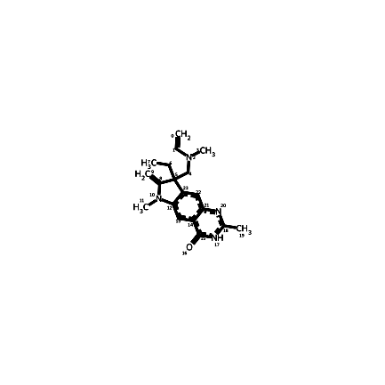 C=CN(C)CC1(CC)C(=C)N(C)c2cc3c(=O)[nH]c(C)nc3cc21